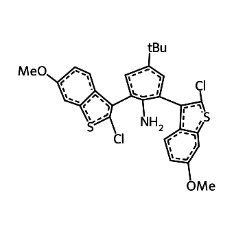 COc1ccc2c(-c3cc(C(C)(C)C)cc(-c4c(Cl)sc5cc(OC)ccc45)c3N)c(Cl)sc2c1